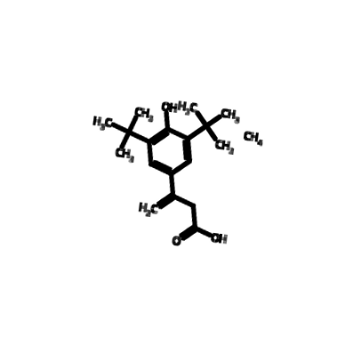 C.C=C(CC(=O)O)c1cc(C(C)(C)C)c(O)c(C(C)(C)C)c1